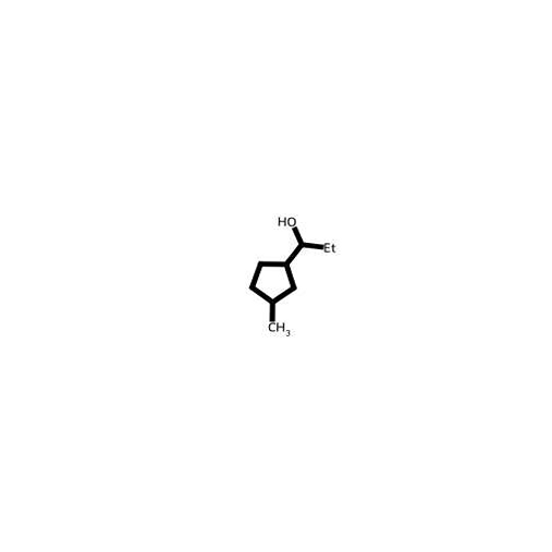 CCC(O)C1CCC(C)C1